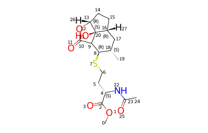 COC(=O)[C@H](CCS[C@H]1C2C(=O)O[C@@H]3CC[C@H](C[C@@H]1C)[C@]23O)NC(C)=O